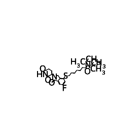 CC(C)N(C(=O)CCCCCCSc1cc(F)cc2c1CN(C1CCC(=O)NC1=O)C2=O)C(C)C